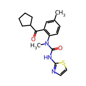 Cc1ccc(N(C)C(=O)Nc2nccs2)c(C(=O)C2CCCC2)c1